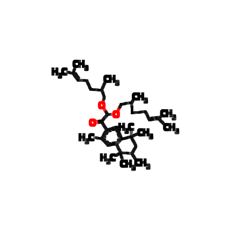 CC(C)=CCCC(C)COC(OCC(C)CCC=C(C)C)C(=O)c1cc2c(cc1C)C(C)(C)C(C)CC2(C)C